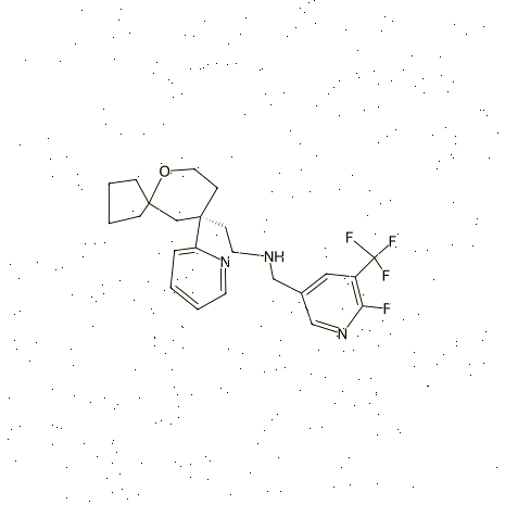 Fc1ncc(CNCC[C@@]2(c3ccccn3)CCOC3(CCCC3)C2)cc1C(F)(F)F